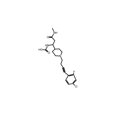 CNC(=O)CC(NC(=O)O)C1CCN(CCC#Cc2ccc(Cl)cc2F)CC1